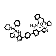 NCc1ccccc1CC(=O)N1CCC[C@H]1c1ncc(-c2ccc(-c3ccc(-c4cnc([C@@H]5CCCN5C(=O)[C@@H](c5ccccc5)N5CCCCC5)[nH]4)cc3)cc2)[nH]1